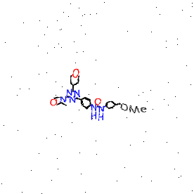 COCc1ccc(NC(=O)Nc2ccc(-c3nc(C4CCOCC4)nc(N4CCOCC4C)n3)cc2)cc1